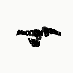 COc1ccc(Oc2cc(-c3noc(=O)[nH]3)ccc2NC[C@@H]2CCCN2C(=O)OC(C)(C)C)cc1